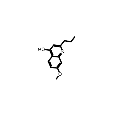 CCCc1cc(O)c2ccc(OC)cc2n1